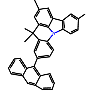 Cc1ccc2c(c1)c1cc(C)cc3c1n2-c1ccc(-c2c4ccccc4cc4ccccc24)cc1C3(C)C